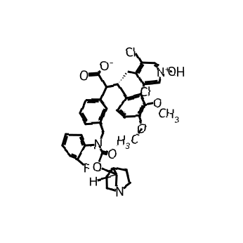 COc1ccc([C@@H](Cc2c(Cl)c[n+](O)cc2Cl)C(C(=O)[O-])c2cccc(CN(C(=O)O[C@H]3CN4CCC3CC4)c3ccccc3F)c2)cc1OC